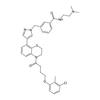 Cc1c(Cl)cccc1OCCCC(=O)N1CCSc2c(-c3cnn(Cc4cccc(C(=O)NCCN(C)C)c4)c3)cccc21